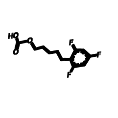 O=C(O)OCCCCCc1c(F)cc(F)cc1F